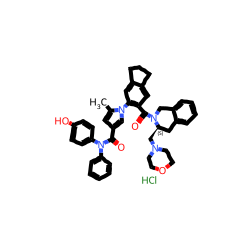 Cc1cc(C(=O)N(c2ccccc2)c2ccc(O)cc2)cn1-c1cc2c(cc1C(=O)N1Cc3ccccc3C[C@H]1CN1CCOCC1)CCC2.Cl